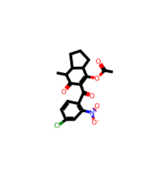 CC(=O)OC1=C(C(=O)c2ccc(Cl)cc2[N+](=O)[O-])C(=O)C(C)C2CCCC12